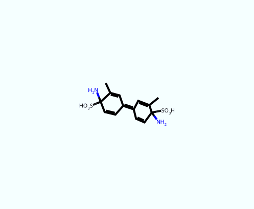 CC1=CC(=C2C=CC(N)(S(=O)(=O)O)C(C)=C2)C=CC1(N)S(=O)(=O)O